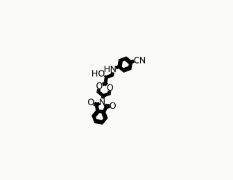 N#Cc1ccc(NC[C@H](O)C2OCC(N3C(=O)c4ccccc4C3=O)CO2)cc1